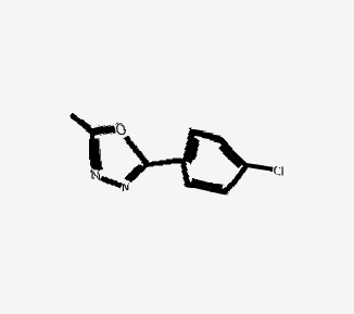 Cc1nnc(-c2ccc(Cl)cc2)o1